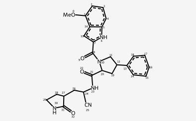 COc1cccc2[nH]c(C(=O)N3CC(c4ccccc4)CC3C(=O)NC(C#N)CC3CCNC3=O)cc12